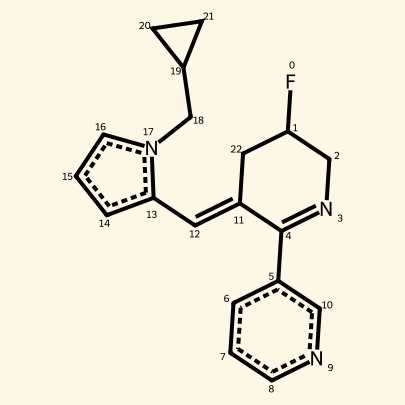 FC1CN=C(c2cccnc2)C(=Cc2cccn2CC2CC2)C1